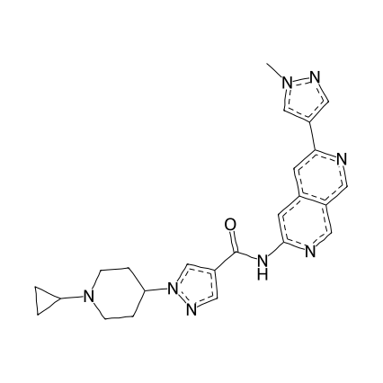 Cn1cc(-c2cc3cc(NC(=O)c4cnn(C5CCN(C6CC6)CC5)c4)ncc3cn2)cn1